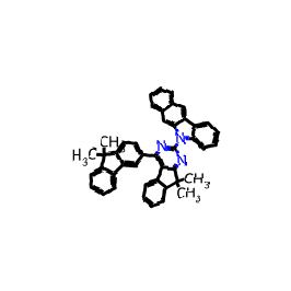 CC1(C)c2ccccc2-c2cc(-c3nc(-n4c5ccccc5c5cc6ccccc6cc54)nc4c3-c3ccccc3C4(C)C)ccc21